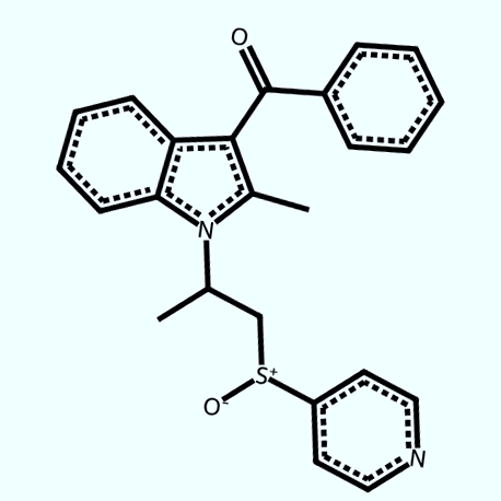 Cc1c(C(=O)c2ccccc2)c2ccccc2n1C(C)C[S+]([O-])c1ccncc1